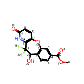 COC(=O)c1ccc2c(c1)Oc1ccc(=O)[nH]c1C(F)(F)C2O